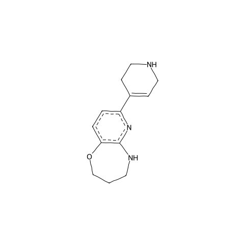 C1=C(c2ccc3c(n2)NCCCO3)CCNC1